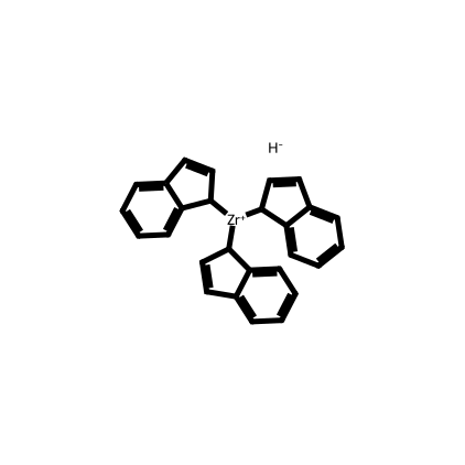 C1=C[CH]([Zr+]([CH]2C=Cc3ccccc32)[CH]2C=Cc3ccccc32)c2ccccc21.[H-]